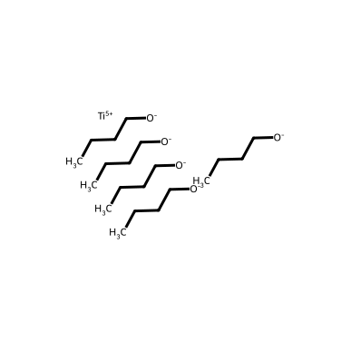 CCCC[O-].CCCC[O-].CCCC[O-].CCCC[O-].CCCC[O-].[Ti+5]